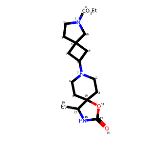 CCOC(=O)N1CCC2(CC(N3CCC4(CC3)OC(=O)NC4CC)C2)C1